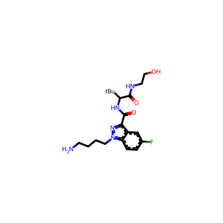 CC(C)(C)C(NC(=O)c1nn(CCCCN)c2ccc(F)cc12)C(=O)NCCO